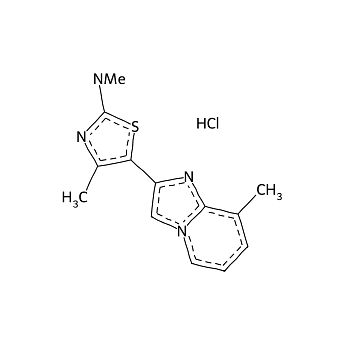 CNc1nc(C)c(-c2cn3cccc(C)c3n2)s1.Cl